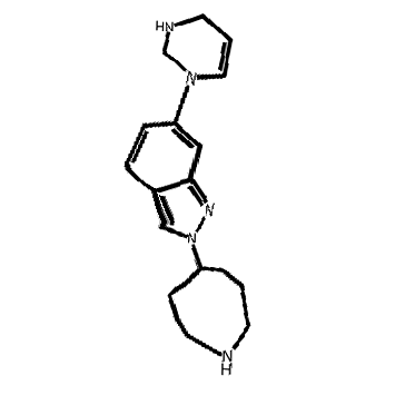 C1=CN(c2ccc3cn(C4CCNCC4)nc3c2)CNC1